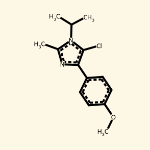 COc1ccc(-c2nc(C)n(C(C)C)c2Cl)cc1